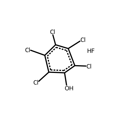 F.Oc1c(Cl)c(Cl)c(Cl)c(Cl)c1Cl